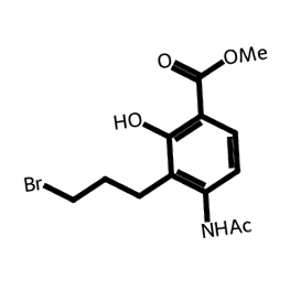 COC(=O)c1ccc(NC(C)=O)c(CCCBr)c1O